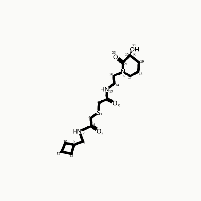 O=C(CSCC(=O)NCC1CCC1)NCCN1CCC[C@@H](O)C1=O